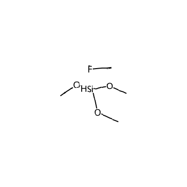 CF.CO[SiH](OC)OC